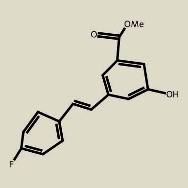 COC(=O)c1cc(O)cc(C=Cc2ccc(F)cc2)c1